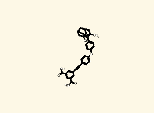 CC12CC3CC(C1)CC(C)(C3)C2c1ccc(Oc2ccc(C#Cc3cc(C(=O)O)cc(C(=O)O)c3)cc2)cc1